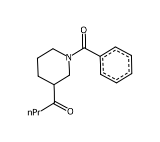 CCCC(=O)C1CCCN(C(=O)c2ccccc2)C1